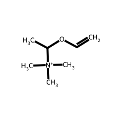 C=COC(C)[N+](C)(C)C